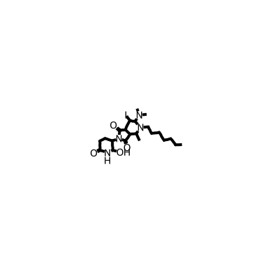 CCCCCCCN1C(C)C2C(=O)N(C3CCC(=O)NC3O)C(=O)C2C(I)C1N(C)C